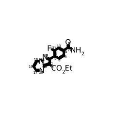 CCOC(=O)c1c(-c2ccc(C(N)=O)cc2F)nn2cccnc12